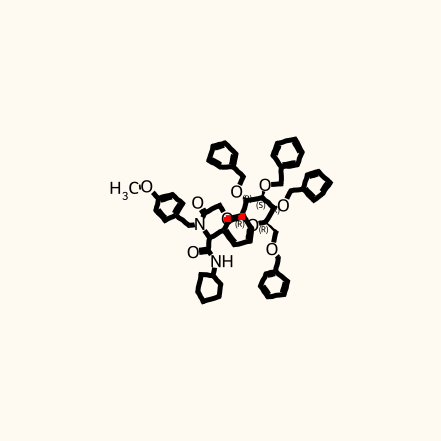 COc1ccc(CN(C(=O)CO[C@@H]2O[C@H](COCc3ccccc3)[C@@H](OCc3ccccc3)[C@H](OCc3ccccc3)[C@H]2OCc2ccccc2)C(C(=O)NC2CCCCC2)c2ccccc2)cc1